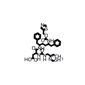 C/C=C(CNC(=O)NC(CC(=O)O)C(=O)NC(CCC(Cc1ccccc1)NC(=O)OCc1cncs1)Cc1ccccc1)\N=C/S